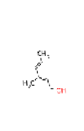 CC=CC(C)=CCO